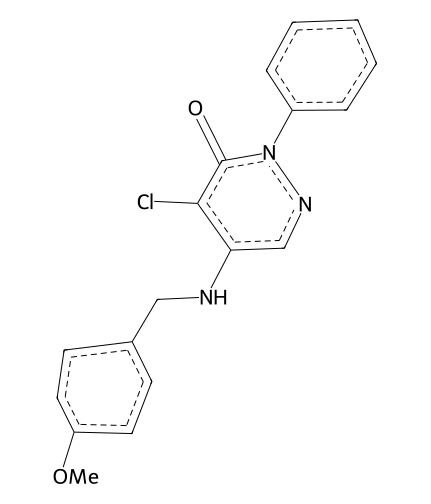 COc1ccc(CNc2cnn(-c3ccccc3)c(=O)c2Cl)cc1